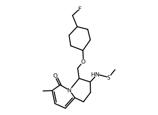 CSNC1CCc2ccc(C)c(=O)n2C1COC1CCC(CF)CC1